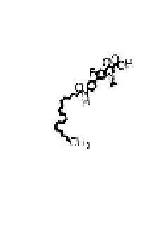 CCCCC/C=C\C/C=C\C/C=C\C/C=C\CCCC(=O)Nc1ccc(-c2cc3c(cc2F)c(=O)c(C(=O)O)cn3C2CC2)cc1